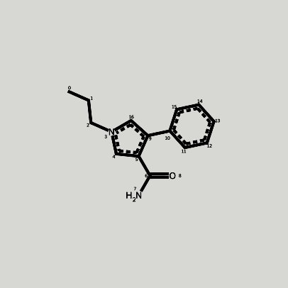 CCCn1cc(C(N)=O)c(-c2ccccc2)c1